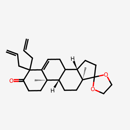 C=CCC1(CC=C)C(=O)CC[C@@]2(C)C1=CCC1[C@@H]2CC[C@@]2(C)[C@H]1CCC21OCCO1